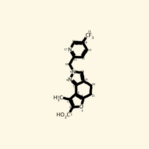 Cc1c(C(=O)O)oc2c1-c1nn(Cc3ccc(C(F)(F)F)cn3)cc1CC2